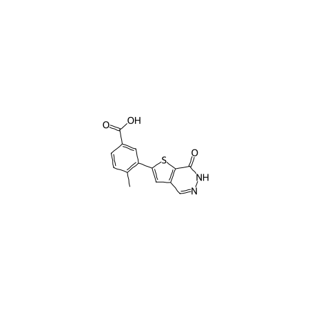 Cc1ccc(C(=O)O)cc1-c1cc2cn[nH]c(=O)c2s1